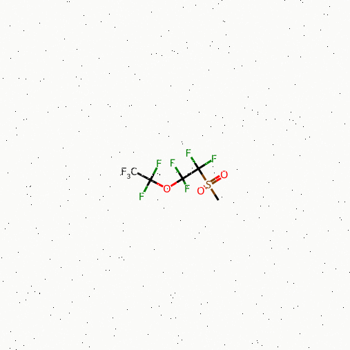 CS(=O)(=O)C(F)(F)C(F)(F)OC(F)(F)C(F)(F)F